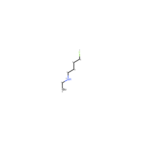 CC(C)(C)CNCCCCF